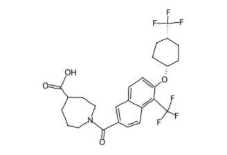 O=C(O)C1CCCN(C(=O)c2ccc3c(C(F)(F)F)c(O[C@H]4CC[C@@H](C(F)(F)F)CC4)ccc3c2)CC1